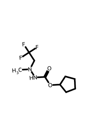 CN(CC(F)(F)F)NC(=O)OC1CCCC1